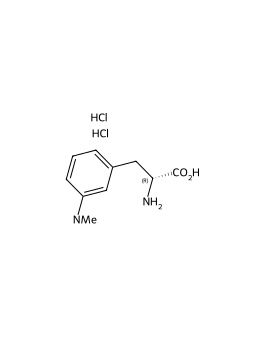 CNc1cccc(C[C@@H](N)C(=O)O)c1.Cl.Cl